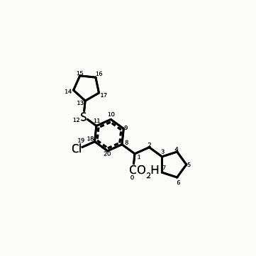 O=C(O)C(CC1CCCC1)c1ccc(SC2CCCC2)c(Cl)c1